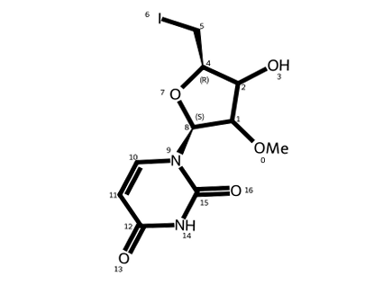 COC1C(O)[C@H](CI)O[C@@H]1n1ccc(=O)[nH]c1=O